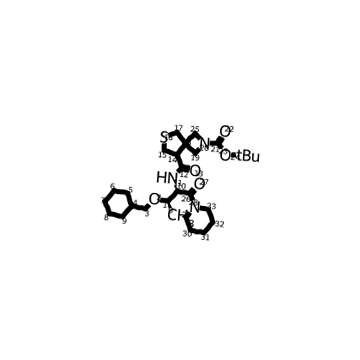 C[C@@H](OCC1CCCCC1)[C@H](NC(=O)C1CSCC12CN(C(=O)OC(C)(C)C)C2)C(=O)N1CCCCC1